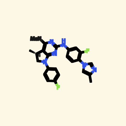 CNc1nc(Nc2ccc(-n3cnc(C)c3)c(F)c2)nc2c1[C@@H](C)CN2c1ccc(F)cc1